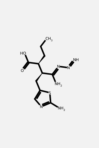 CCC[C@H](C(=O)O)[C@H](Cc1cnc(N)s1)/C(N)=N/N=N